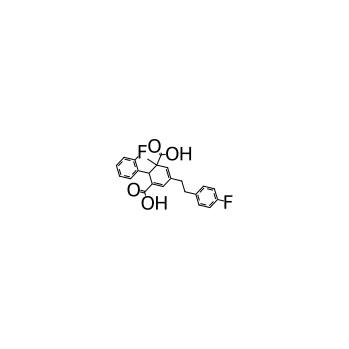 CC1(C(=O)O)C=C(CCc2ccc(F)cc2)C=C(C(=O)O)C1c1ccccc1F